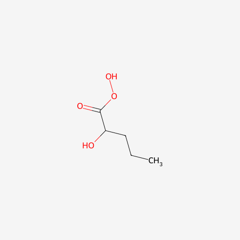 CCCC(O)C(=O)OO